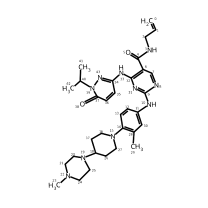 C=CCNC(=O)c1cnc(Nc2ccc(N3CCC(N4CCN(C)CC4)CC3)c(C)c2)nc1Nc1ccc(=O)n(C(C)C)n1